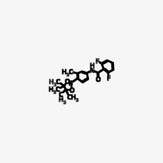 Cc1cc(NC(=O)c2c(F)cccc2F)ccc1B1OC(C)(C)C(C)(C)O1